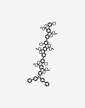 CCOC(=O)c1cc(-c2cccc(Cl)c2)c(C(=O)OCC)cc1-c1ccc(-c2ccc(-c3cc(C(=O)OCC)c(-c4ccc(-c5ccc(-c6cc(C(=O)OCC)c(-c7ccc(N(c8ccc(-c9ccccc9)cc8)c8ccc(-c9ccccc9)cc8)cc7)cc6C(=O)OCC)c(Cl)c5)cc4)cc3C(=O)OCC)c(Cl)c2)cc1